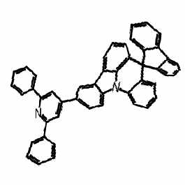 c1ccc(-c2cc(-c3ccc4c(c3)c3cccc5c3n4-c3ccccc3C53c4ccccc4-c4ccccc43)cc(-c3ccccc3)n2)cc1